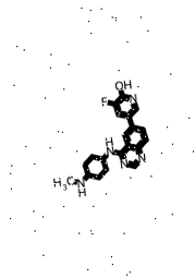 CNC1CCC(Nc2ncnc3ccc(-c4cnc(O)c(F)c4)cc23)CC1